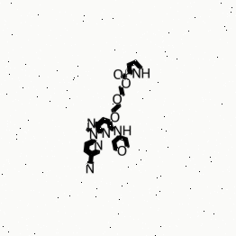 N#Cc1ccc(-n2cnc3cc(OCCOCCOC(=O)[C@@H]4CCCN4)c(NC4CCOCC4)nc32)nc1